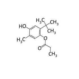 CCC(=O)Oc1cc(C)c(O)cc1C(C)(C)C